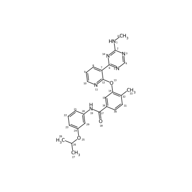 CNc1ncnc(-c2cccnc2Oc2cc(C(=O)Nc3cccc(OC(C)C)c3)ccc2C)n1